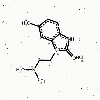 Cc1ccc2[nH]c(=O)n(CCN(C)C)c2c1.Cl